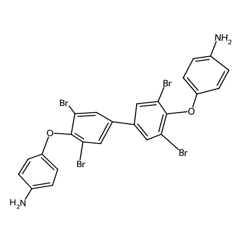 Nc1ccc(Oc2c(Br)cc(-c3cc(Br)c(Oc4ccc(N)cc4)c(Br)c3)cc2Br)cc1